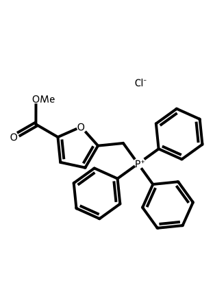 COC(=O)c1ccc(C[P+](c2ccccc2)(c2ccccc2)c2ccccc2)o1.[Cl-]